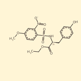 CCOC(=O)[C@H](Cc1ccc(O)cc1)NS(=O)(=O)c1ccc(OC)cc1[N+](=O)[O-]